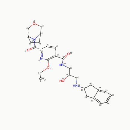 CCOc1nc(C(=O)N2C3CCC2COC3)ccc1C(=O)NCC(O)CNC1Cc2ccccc2C1